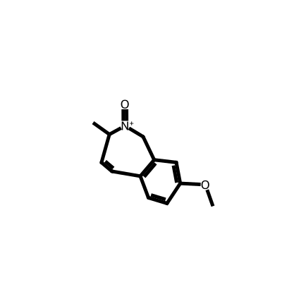 COc1ccc2c(c1)C[N+](=O)C(C)C=C2